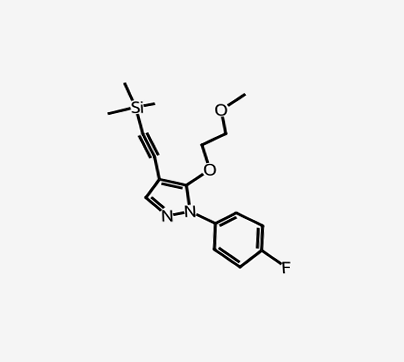 COCCOc1c(C#C[Si](C)(C)C)cnn1-c1ccc(F)cc1